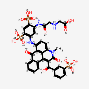 Cn1c(=O)c(C(=O)c2cccc(S(=O)(=O)O)c2)c2c3c(c(Nc4cc(NC(=O)CNCC(=O)O)c(S(=O)(=O)O)cc4S(=O)(=O)O)ccc31)C(=O)c1ccccc1-2